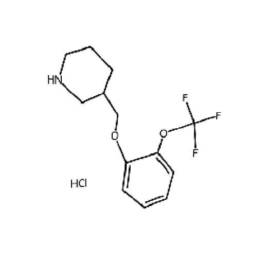 Cl.FC(F)(F)Oc1ccccc1OCC1CCCNC1